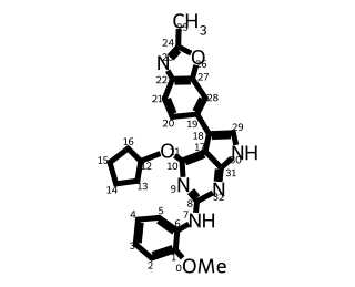 COc1ccccc1Nc1nc(OC2CCCC2)c2c(-c3ccc4nc(C)oc4c3)c[nH]c2n1